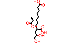 C=CC(=O)O.O=C(O)CCCCCCCC(CC(O)CO)C(=O)O